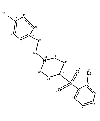 CCc1ccccc1S(=O)(=O)C1CCN(CCc2ccc(F)cc2)CC1